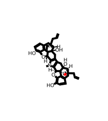 C=CCN1CC[C@]23c4c5ccc(O)c4O[C@H]2c2c(c4c(n2C)[C@@H]2Oc6c(O)ccc7c6[C@@]26CCN(CC=C)[C@H](C7)[C@]6(O)C4)C[C@@]3(O)[C@H]1C5